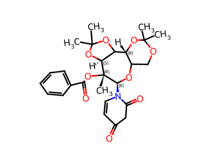 CC1(C)OCC2O[C@@H](N3C=CC(=O)CC3=O)[C@](C)(OC(=O)c3ccccc3)[C@H]3OC(C)(C)OC3[C@@H]2O1